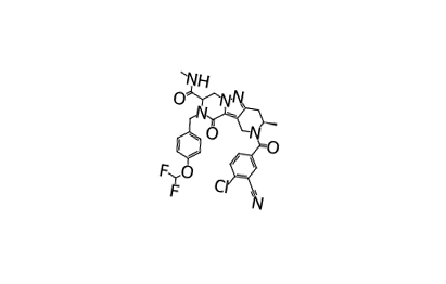 CNC(=O)C1Cn2nc3c(c2C(=O)N1Cc1ccc(OC(F)F)cc1)CN(C(=O)c1ccc(Cl)c(C#N)c1)[C@H](C)C3